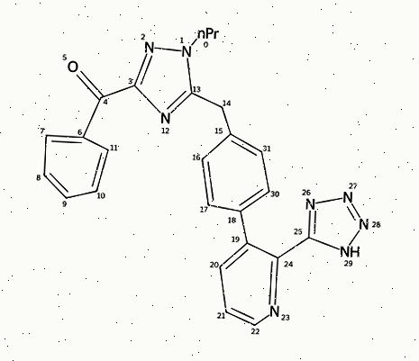 CCCn1nc(C(=O)c2ccccc2)nc1Cc1ccc(-c2cccnc2-c2nnn[nH]2)cc1